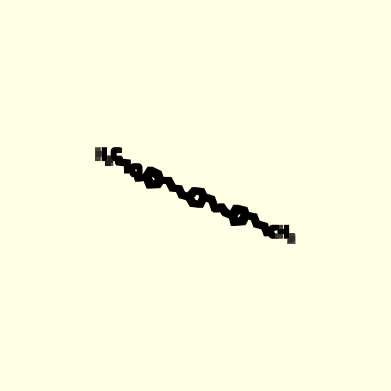 C=CCCCc1ccc(CC=CCC2CCC(CCCCc3ccc(COCCC=C)cc3)CC2)cc1